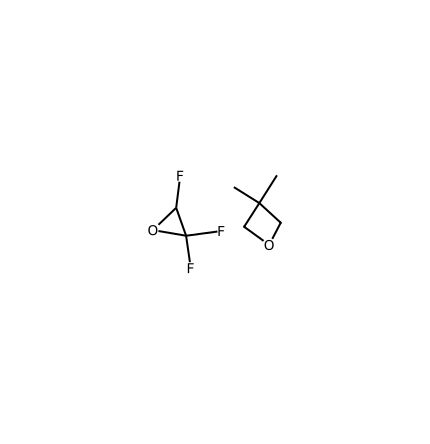 CC1(C)COC1.FC1OC1(F)F